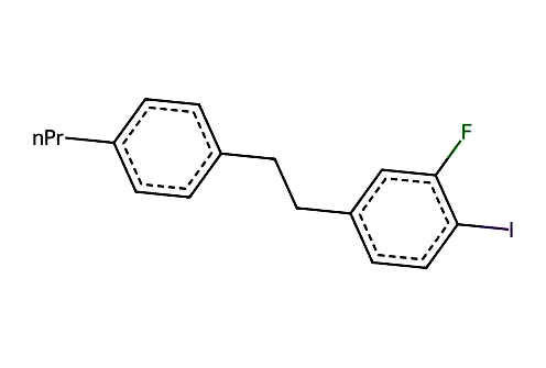 CCCc1ccc(CCc2ccc(I)c(F)c2)cc1